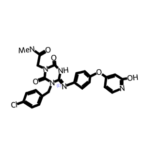 CNC(=O)Cn1c(=O)[nH]/c(=N\c2ccc(Oc3ccnc(O)c3)cc2)n(Cc2ccc(Cl)cc2)c1=O